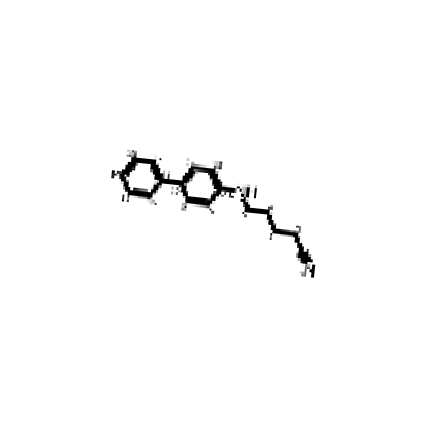 N#CCCCCNc1ccc(-c2ccccc2)cc1